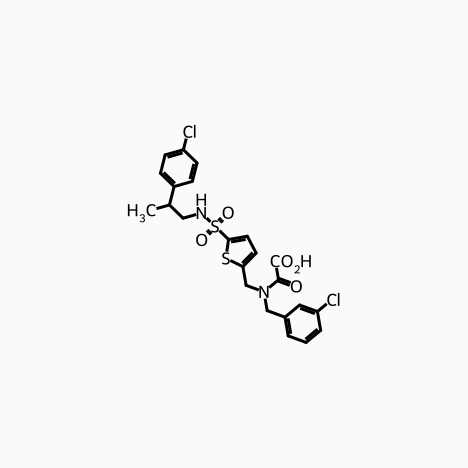 CC(CNS(=O)(=O)c1ccc(CN(Cc2cccc(Cl)c2)C(=O)C(=O)O)s1)c1ccc(Cl)cc1